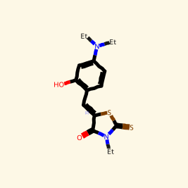 CCN1C(=O)/C(=C/c2ccc(N(CC)CC)cc2O)SC1=S